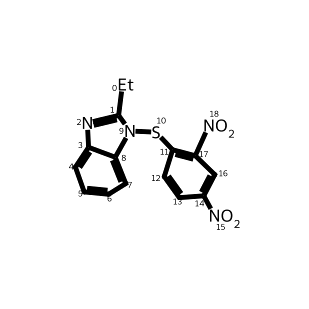 CCc1nc2ccccc2n1Sc1ccc([N+](=O)[O-])cc1[N+](=O)[O-]